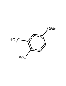 COc1ccc(OC(C)=O)c(C(=O)O)c1